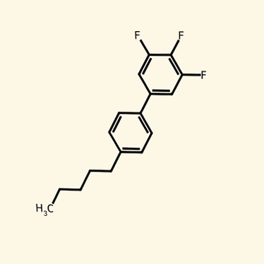 CCCCCc1ccc(-c2cc(F)c(F)c(F)c2)cc1